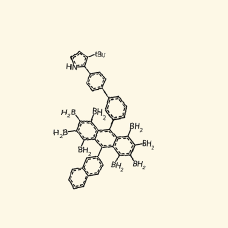 Bc1c(B)c(B)c2c(-c3ccc4ccccc4c3)c3c(B)c(B)c(B)c(B)c3c(-c3cccc(-c4ccc(-c5[nH]ccc5C(C)(C)C)cc4)c3)c2c1B